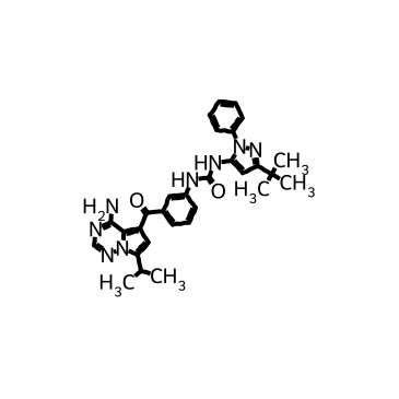 CC(C)c1cc(C(=O)c2cccc(NC(=O)Nc3cc(C(C)(C)C)nn3-c3ccccc3)c2)c2c(N)ncnn12